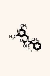 Cc1cc(CN(C(=O)O)C(C)(C)c2ccccc2)cc(C)n1